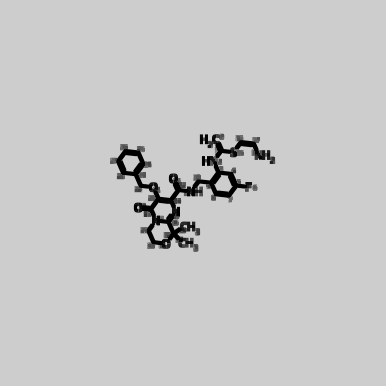 C=C(Nc1cc(F)ccc1CNC(=O)c1nc2n(c(=O)c1OCc1ccccc1)CCOC2(C)C)S/C=C\N